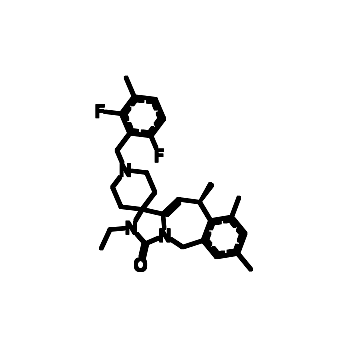 CCN1C(=O)N2Cc3cc(C)cc(C)c3[C@H](C)C=C2C12CCN(Cc1c(F)ccc(C)c1F)CC2